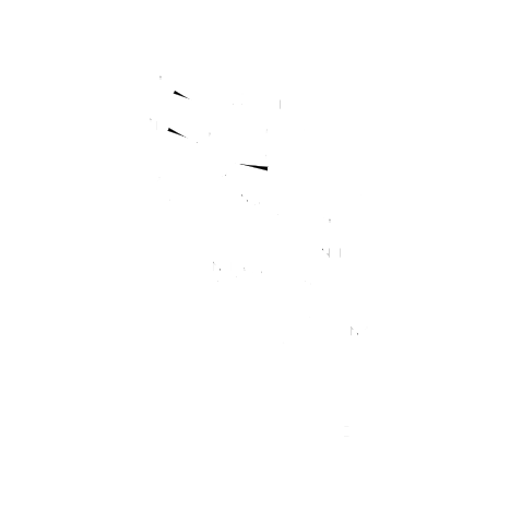 CCc1ccc(C(=O)Nc2ccc(F)c([C@]34CO[C@H](C(F)(F)F)[C@H]3CSC(N)=N4)c2)nc1